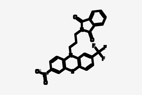 O=C1c2ccccc2C(=O)N1CCCN1c2ccc([N+](=O)[O-])cc2Sc2ccc(C(F)(F)F)cc21